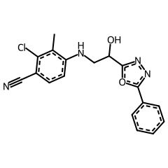 Cc1c(NCC(O)c2nnc(-c3ccccc3)o2)ccc(C#N)c1Cl